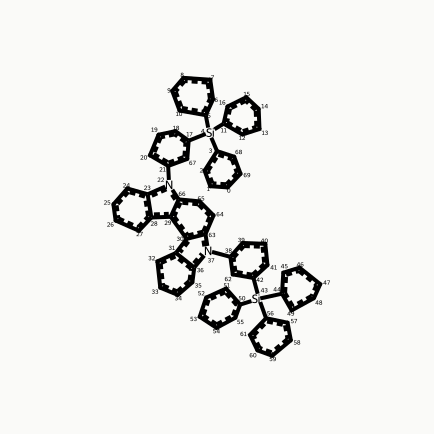 c1ccc([Si](c2ccccc2)(c2ccccc2)c2cccc(-n3c4ccccc4c4c5c6ccccc6n(-c6cccc([Si](c7ccccc7)(c7ccccc7)c7ccccc7)c6)c5ccc43)c2)cc1